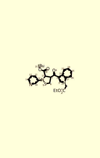 CCOC(=O)Cn1cc(C(=O)C2CSN(c3cccnc3)C2C(=O)OC(C)(C)C)c2ccccc21